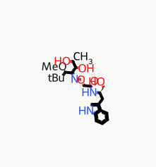 CO[C@H](/C(=N/OCC(=O)N[C@H](CO)Cc1c[nH]c2ccccc12)C(O)C(C)O)C(C)(C)C